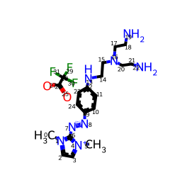 Cn1cc[n+](C)c1/N=N/c1ccc(NCCN(CCN)CCN)cc1.O=C([O-])C(F)(F)F